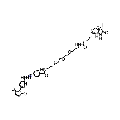 O=C(CCCC[C@@H]1SC[C@@H]2NC(=O)N[C@@H]21)NCCCOCCOCCOCCCNC(=O)c1ccc(/C=N/Nc2ccc(N3C(=O)C=CC3=O)cn2)cc1